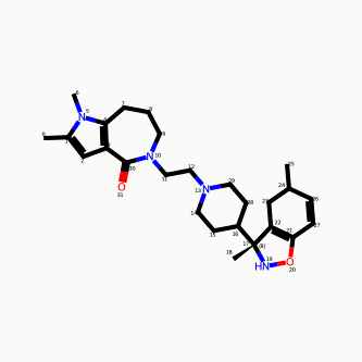 Cc1cc2c(n1C)CCCN(CCN1CCC([C@@]3(C)NOC4=C3CC(C)C=C4)CC1)C2=O